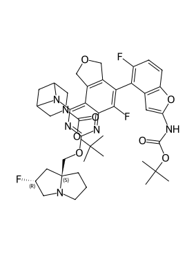 CC(C)(C)OC(=O)Nc1cc2c(-c3c4c(c5c(N6C7CC6CN(C(=O)OC(C)(C)C)C7)nc(OC[C@@]67CCCN6C[C@H](F)C7)nc5c3F)COC4)c(F)ccc2o1